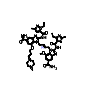 CCc1nc(C)sc1C(=O)Nc1nc2cc(C(N)=O)cc(OC)c2n1C/C=C/Cn1c(NC(=O)c2cc(C)nn2CC)nc2cc(C(N)=O)cc(OCCCN3CCN(C)CC3)c21